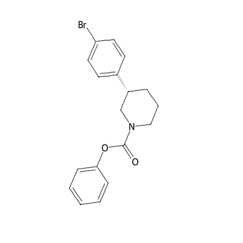 O=C(Oc1ccccc1)N1CCC[C@@H](c2ccc(Br)cc2)C1